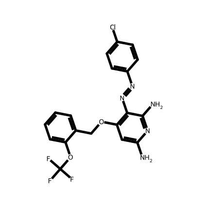 Nc1cc(OCc2ccccc2OC(F)(F)F)c(/N=N/c2ccc(Cl)cc2)c(N)n1